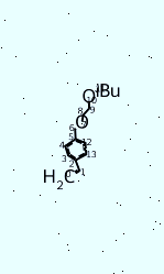 C=Cc1ccc(COCCOC(C)CC)cc1